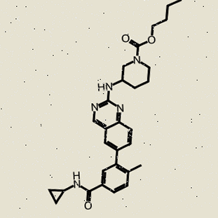 CCCCOC(=O)N1CCCC(Nc2ncc3cc(-c4cc(C(=O)NC5CC5)ccc4C)ccc3n2)C1